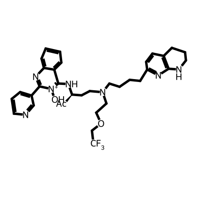 CC(=O)[C@H](CCN(CCCCc1ccc2c(n1)NCCC2)CCOCC(F)(F)F)Nc1c2ccccc2nc(-c2cccnc2)[n+]1O